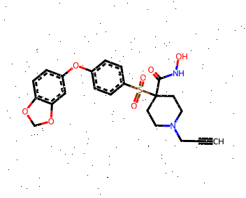 C#CCN1CCC(C(=O)NO)(S(=O)(=O)c2ccc(Oc3ccc4c(c3)OCO4)cc2)CC1